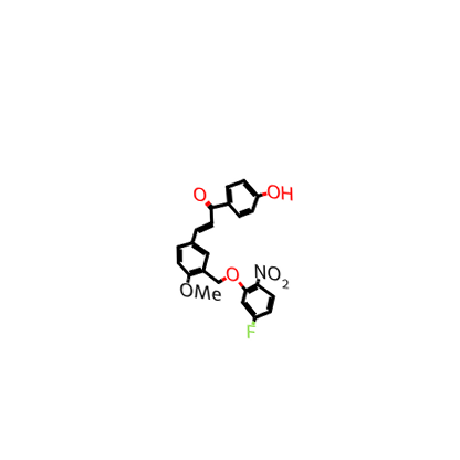 COc1ccc(/C=C/C(=O)c2ccc(O)cc2)cc1COc1cc(F)ccc1[N+](=O)[O-]